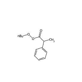 CCCCOOC(=O)C(C)c1ccccc1